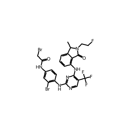 CC1c2cccc(Nc3nc(Nc4ccc(NC(=O)CBr)cc4Br)ncc3C(F)(F)F)c2C(=O)N1CCF